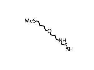 CSCCCCOCCCNCSS